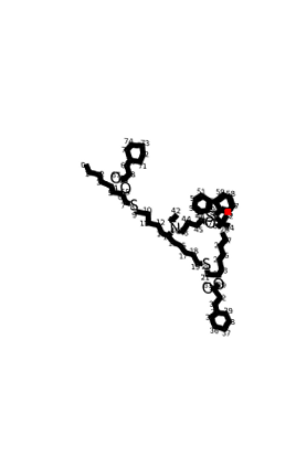 CCCCCCC(CSCCCCCC(CCCCCSCC(CCCCCC)OC(=O)CCC1CCCCC1)N(CC)CCCCO[Si](c1ccccc1)(c1ccccc1)C(C)(C)C)OC(=O)CCC1CCCCC1